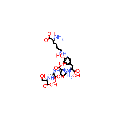 C[C@H](N)C(=O)O.NCCCC[C@H](N)C(=O)O.N[C@@H](CO)C(=O)O.N[C@@H](Cc1ccc(O)cc1)C(=O)O.O=C(O)[C@@H]1CCCN1